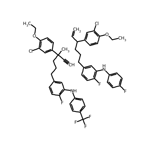 C#CC(C)(CCCc1ccc(F)c(Nc2ccc(C(F)(F)F)cc2)c1)c1ccc(OCC)c(Cl)c1.C=CC(CCCc1ccc(F)c(Nc2ccc(F)cc2)c1)c1ccc(OCC)c(Cl)c1